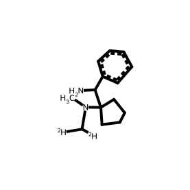 [2H]C([2H])N(C)C1(C(N)c2ccccc2)CCCC1